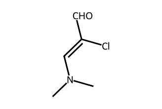 CN(C)C=C(Cl)C=O